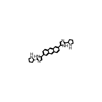 c1cc2cc3cc(-c4cnc([C@@H]5CCCN5)[nH]4)ccc3cc2cc1-c1cnc(C2CCCN2)[nH]1